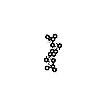 Cc1cccc(C)c1N(c1cccc(-c2cc3ccccc3c3c2sc2ccccc23)c1)c1ccc2ccc3c(N(c4cccc(-c5cc6ccccc6c6c5sc5ccccc56)c4)c4c(C)cccc4C)ccc4ccc1c2c43